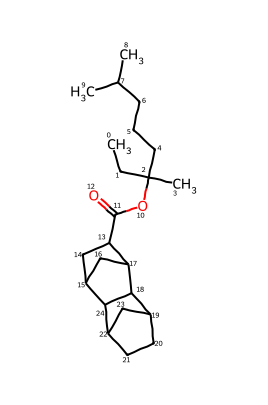 CCC(C)(CCCC(C)C)OC(=O)C1CC2CC1C1C3CCC(C3)C21